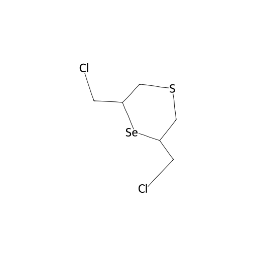 ClCC1CSCC(CCl)[Se]1